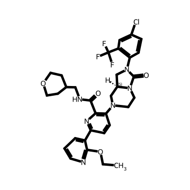 CCOc1ncccc1-c1ccc(N2CCN3C(=O)N(c4ccc(Cl)cc4C(F)(F)F)C[C@@H]3C2)c(C(=O)NCC2CCOCC2)n1